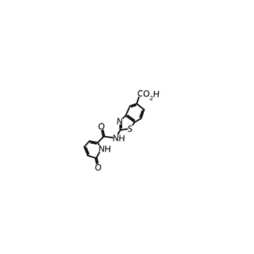 O=C(O)c1ccc2sc(NC(=O)c3cccc(=O)[nH]3)nc2c1